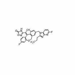 CCCc1nc2nc(F)ccc2n1Cc1ccc2c(c1)COc1cc(F)ccc1C2=C(C)c1noc(=O)[nH]1